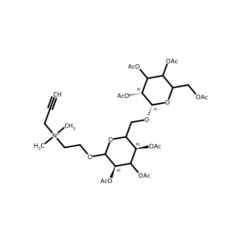 C#CC[N+](C)(C)CCOC1OC(CO[C@H]2OC(COC(C)=O)C(OC(C)=O)C(OC(C)=O)[C@H]2OC(C)=O)[C@@H](OC(C)=O)C(OC(C)=O)[C@H]1OC(C)=O